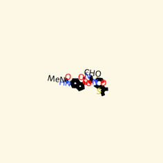 CNC(=O)Nc1ccc2c(c1)CCC2OC(=O)N(C=O)CC(=O)N1CCOc2c(sc(C)c2C)C1